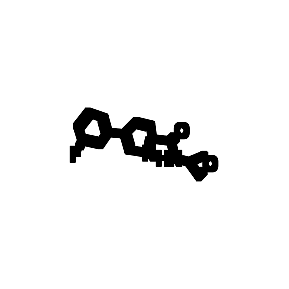 O=C(NC1COC1)c1ccc(-c2cccc(F)c2)cn1